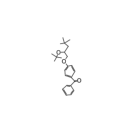 CC(C)(C)CC(COc1ccc(C(=O)c2ccccc2)cc1)OC(C)(C)C